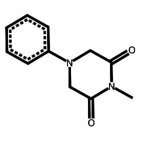 CN1C(=O)CN(c2ccccc2)CC1=O